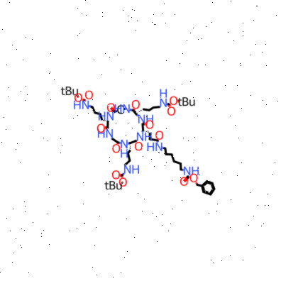 CC(C)(C)OC(=O)NCCCC[C@@H]1NC(=O)CNC(=O)[C@H](CCCCNC(=O)OC(C)(C)C)NC(=O)[C@H](CCC(=O)NCCCCCCNC(=O)OCc2ccccc2)NC(=O)[C@H](CCCCNC(=O)OC(C)(C)C)NC(=O)CNC1=O